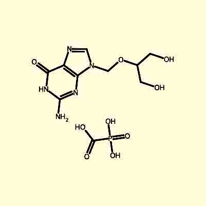 Nc1nc2c(ncn2COC(CO)CO)c(=O)[nH]1.O=C(O)P(=O)(O)O